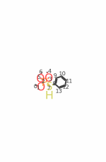 COP(OC)(OC)=[SH]c1ccccc1